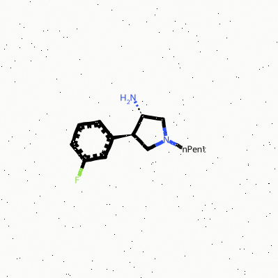 CCCCCN1C[C@@H](N)[C@H](c2cccc(F)c2)C1